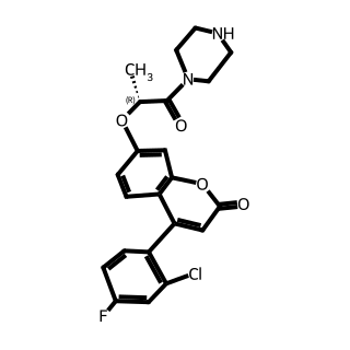 C[C@@H](Oc1ccc2c(-c3ccc(F)cc3Cl)cc(=O)oc2c1)C(=O)N1CCNCC1